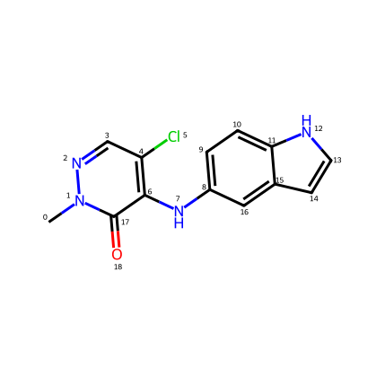 Cn1ncc(Cl)c(Nc2ccc3[nH]ccc3c2)c1=O